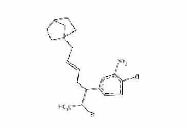 CCC(C(=O)O)C(CC=CCC12CCC(CC1)C2)c1ccc(Cl)c([N+](=O)[O-])c1